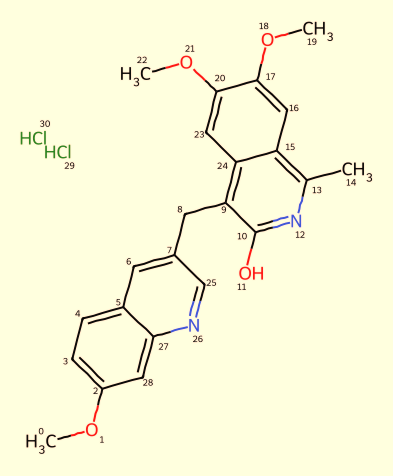 COc1ccc2cc(Cc3c(O)nc(C)c4cc(OC)c(OC)cc34)cnc2c1.Cl.Cl